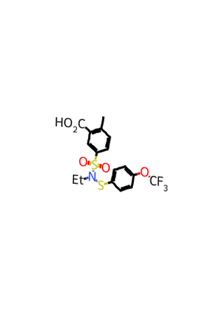 CCN(Sc1ccc(OC(F)(F)F)cc1)S(=O)(=O)c1ccc(C)c(C(=O)O)c1